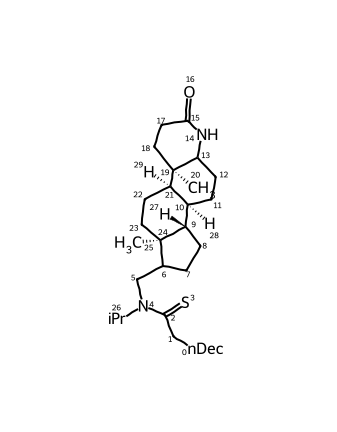 CCCCCCCCCCCC(=S)N(CC1CC[C@H]2[C@@H]3CCC4NC(=O)CC[C@]4(C)[C@@H]3CC[C@]12C)C(C)C